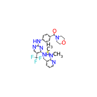 CSN(C)c1ncccc1CNc1nc(Nc2ccc(C(=O)N3CCOCC3)cc2)ncc1C(F)(F)F